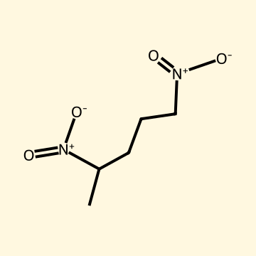 CC(CCC[N+](=O)[O-])[N+](=O)[O-]